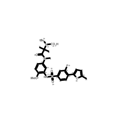 COc1ccc(N(C)C(=O)C(C)(C)N(C(=O)O)C(C)(C)C)cc1NS(=O)(=O)c1ccc(-c2ccc(C)o2)c(F)c1